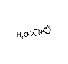 CN1CC2(CCN(c3cccnc3)CC2)C1